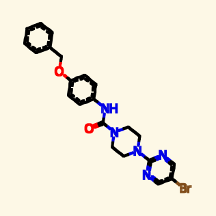 O=C(Nc1ccc(OCc2ccccc2)cc1)N1CCN(c2ncc(Br)cn2)CC1